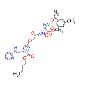 C=CCCOC(=O)N1C[C@H](OCC(=O)NC[C@H](NS(=O)(=O)c2c(C)cc(C)cc2C)C(=O)O)C[C@H]1CNc1ccccn1